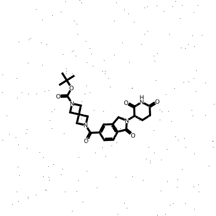 CC(C)(C)OC(=O)N1CC2(C1)CN(C(=O)c1ccc3c(c1)CN(C1CCC(=O)NC1=O)C3=O)C2